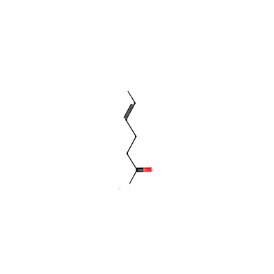 CCC=CCCC(=O)CCCC